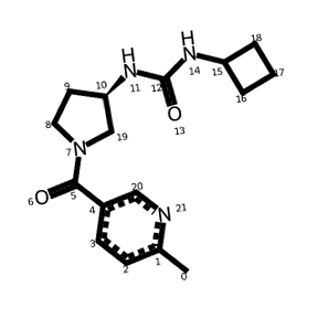 Cc1ccc(C(=O)N2CC[C@@H](NC(=O)NC3CCC3)C2)cn1